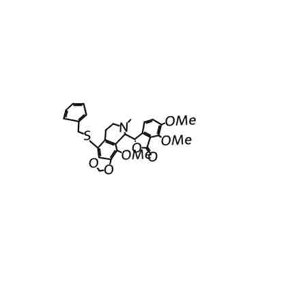 COc1ccc2c(c1OC)C(=O)O[C@@H]2[C@H]1c2c(c(CSCc3ccccc3)c3c(c2OC)OCO3)CCN1C